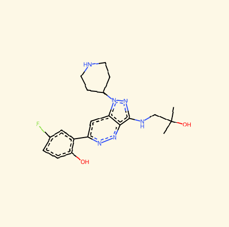 CC(C)(O)CNc1nn(C2CCNCC2)c2cc(-c3cc(F)ccc3O)nnc12